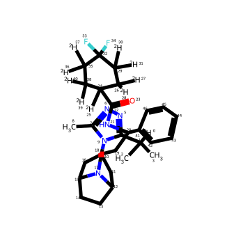 [2H]C(C)(C)c1nnc(C)n1C1CC2CCC(C1)N2CCC(NC(=O)C1([2H])C([2H])([2H])C([2H])([2H])C(F)(F)C([2H])([2H])C1([2H])[2H])c1ccccc1